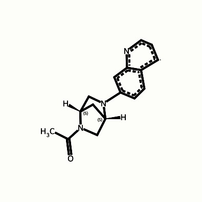 CC(=O)N1C[C@@H]2C[C@H]1CN2c1ccc2[c]ccnc2c1